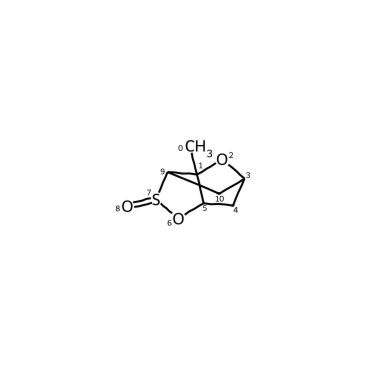 CC12OC3CC1OS(=O)C2C3